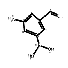 Nc1cc(C=O)cc(B(O)O)c1